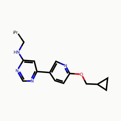 CC(C)CNc1cc(-c2ccc(OCC3CC3)nc2)ncn1